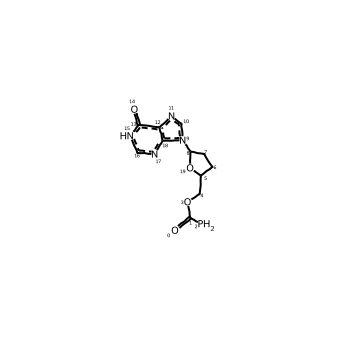 O=C(P)OCC1CCC(n2cnc3c(=O)[nH]cnc32)O1